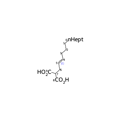 CCCCCCCCCC/C=C/CC(C(=O)O)C(=O)O